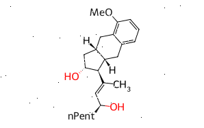 CCCCC[C@H](O)/C=C(\C)[C@@H]1[C@H]2Cc3cccc(OC)c3C[C@H]2C[C@H]1O